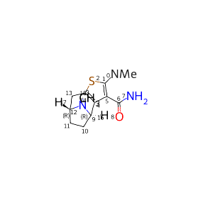 CNc1sc2c(c1C(N)=O)[C@H]1CC[C@H](C2)N1C